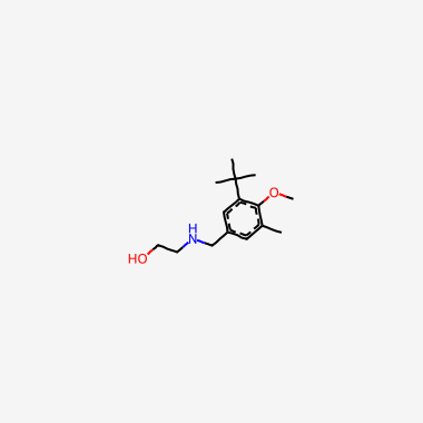 COc1c(C)cc(CNCCO)cc1C(C)(C)C